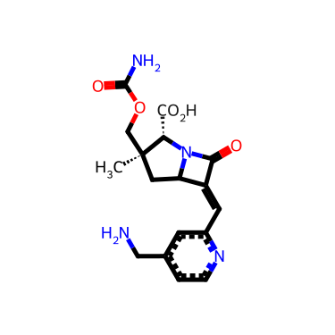 C[C@@]1(COC(N)=O)CC2/C(=C\c3cc(CN)ccn3)C(=O)N2[C@H]1C(=O)O